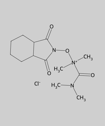 CN(C)C(=O)[N+](C)(C)ON1C(=O)C2CCCCC2C1=O.[Cl-]